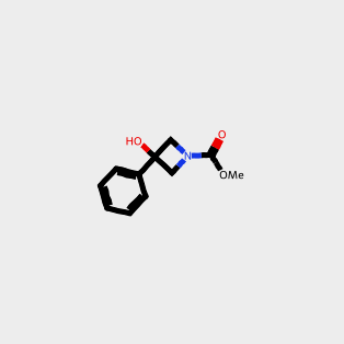 COC(=O)N1CC(O)(c2ccccc2)C1